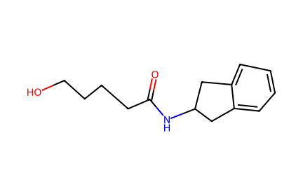 O=C(CCCCO)NC1Cc2ccccc2C1